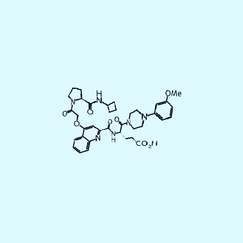 COc1cccc(N2CCN(C(=O)[C@H](CCC(=O)O)NC(=O)c3cc(OCC(=O)N4CCC[C@H]4C(=O)NC4CCC4)c4ccccc4n3)CC2)c1